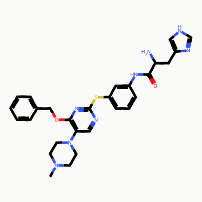 CN1CCN(c2cnc(Sc3cccc(NC(=O)C(N)Cc4c[nH]cn4)c3)nc2OCc2ccccc2)CC1